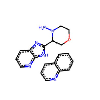 NN1CCOCC1c1nc2cccnc2[nH]1.c1ccc2ncccc2c1